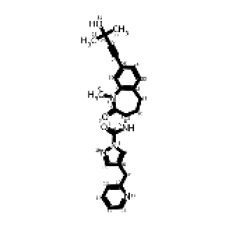 CN1C(=O)[C@@H](NC(=O)n2cc(Cc3ccccn3)cn2)CCc2ccc(C#CC(C)(C)O)cc21